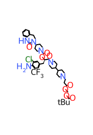 CC(C)(C)C(=O)OCOC(=O)CCN1CCC(C2CCN(C(=O)[C@@H](Cc3cc(Cl)c(N)c(C(F)(F)F)c3)OC(=O)N3CCC(N4CCc5ccccc5NC4=O)CC3)CC2)CC1